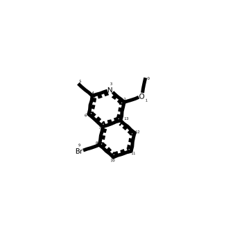 COc1nc(C)cc2c(Br)cccc12